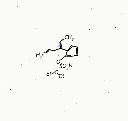 C=CC/C(=C/C)c1ccccc1OS(=O)(=O)O.CCOCC